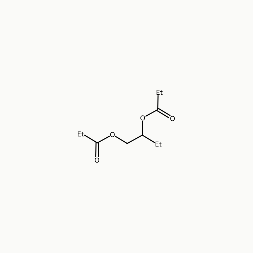 CCC(=O)OCC(CC)OC(=O)CC